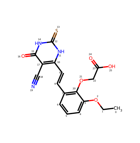 CCOc1cccc(C=Cc2[nH]c(=S)[nH]c(=O)c2C#N)c1OCC(=O)O